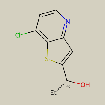 CC[C@@H](O)c1cc2nccc(Cl)c2s1